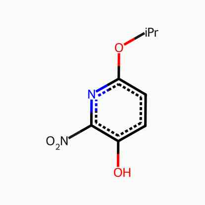 CC(C)Oc1ccc(O)c([N+](=O)[O-])n1